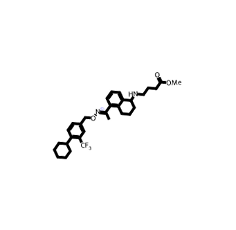 COC(=O)CCCNC1CCCc2c(/C(C)=N/OCc3ccc(C4CCCCC4)c(C(F)(F)F)c3)cccc21